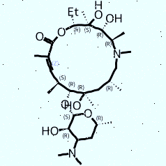 CC[C@H]1OC(=O)/C(C)=C\[C@H](C)[C@@H](O[C@@H]2O[C@H](C)CC(N(C)C)[C@H]2O)[C@](C)(O)C[C@@H](C)CN(C)[C@H](C)[C@@H](O)[C@]1(C)O